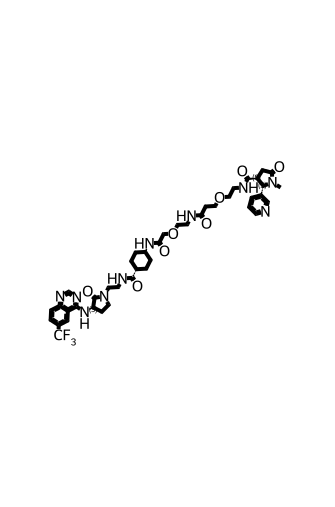 CN1C(=O)C[C@H](C(=O)NCCOCCC(=O)NCCOCC(=O)N[C@H]2CC[C@@H](C(=O)NCCN3CC[C@H](Nc4ncnc5ccc(C(F)(F)F)cc45)C3=O)CC2)[C@H]1c1cccnc1